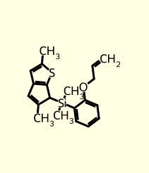 C=CCOc1ccccc1[Si](C)(C)C1C(C)=Cc2cc(C)sc21